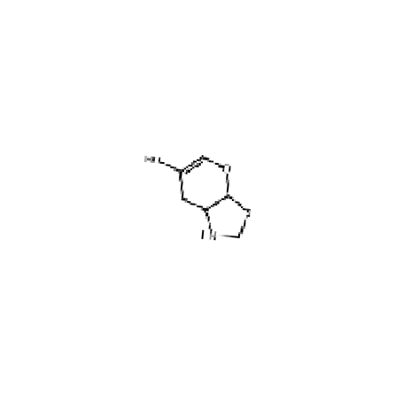 OC1=COC2SCNC2C1